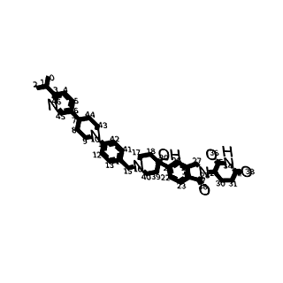 CC(C)c1ccc(C2CCN(c3ccc(CN4CCC(O)(c5ccc6c(c5)CN(C5CCC(=O)NC5=O)C6=O)CC4)cc3)CC2)cn1